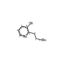 CC(C)(C)CCc1ncccc1Br